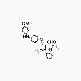 COc1ccc(Nc2ccc(/N=N/C(C=O)=C3N(C)c4ccccc4N3C)cc2)cc1